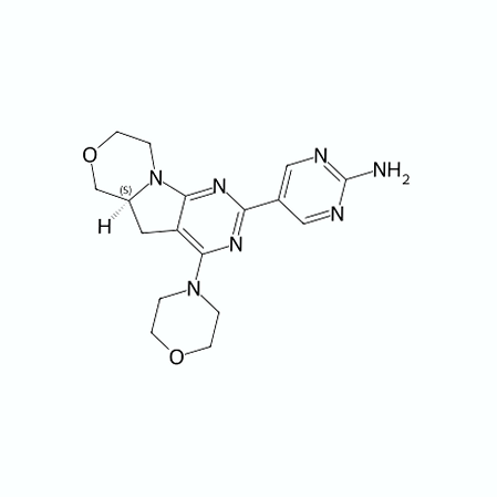 Nc1ncc(-c2nc(N3CCOCC3)c3c(n2)N2CCOC[C@@H]2C3)cn1